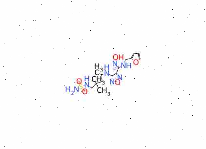 CC(CC(C)(C)CNS(N)(=O)=O)Nc1nonc1/C(=N/O)NCc1ccco1